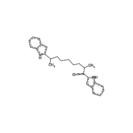 CC(CCCCCC(C)c1cc2ccccc2[nH]1)C(=O)c1cc2ccccc2[nH]1